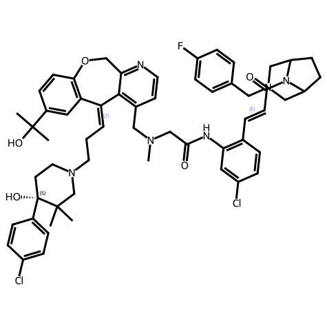 CN(CC(=O)Nc1cc(Cl)ccc1/C=C/C(=O)N1C2CCC1CN(Cc1ccc(F)cc1)C2)Cc1ccnc2c1/C(=C/CCN1CC[C@](O)(c3ccc(Cl)cc3)C(C)(C)C1)c1cc(C(C)(C)O)ccc1OC2